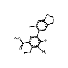 C=Cc1c(C(=O)OC)nc(-c2cc3c(cc2F)OCO3)c(F)c1N